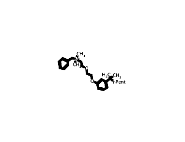 CCCCCC(C)(C)c1cccc(OCCOCC[N+](C)(C)Cc2ccccc2)c1